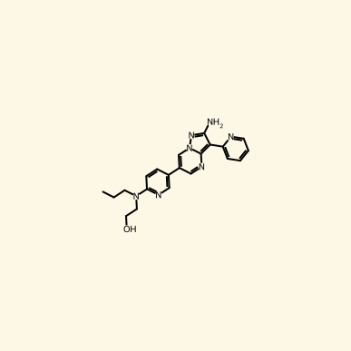 CCCN(CCO)c1ccc(-c2cnc3c(-c4ccccn4)c(N)nn3c2)cn1